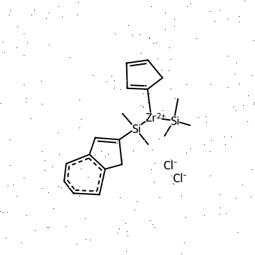 C[Si](C)(C)[Zr+2]([C]1=CC=CC1)[Si](C)(C)C1=Cc2ccccc2C1.[Cl-].[Cl-]